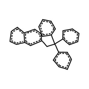 c1ccc(C(Cc2ccc3ccccc3c2)(c2ccccc2)c2ccccc2)cc1